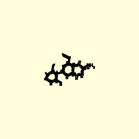 C=Cc1cc(-c2c(C)cccc2C)cc2nnc(N)nc12